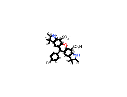 CC(C)c1ccc(C2=c3cc4c(c(S(=O)(=O)O)c3Oc3c2cc2c(c3S(=O)(=O)O)NC(C)C2(C)C)=NC(C)C4(C)C)cc1